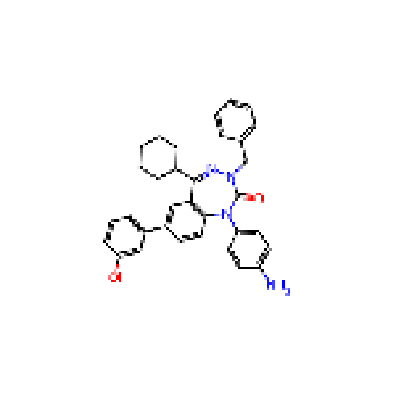 Nc1ccc(N2C(=O)N(Cc3ccccc3)N=C(C3CCCCC3)c3cc(-c4cccc(O)c4)ccc32)cc1